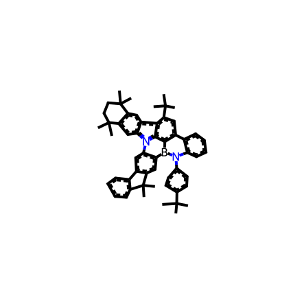 CC(C)(C)c1ccc(N2B3c4cc5c(cc4-n4c6cc7c(cc6c6c(C(C)(C)C)cc(c3c64)-c3ccccc32)C(C)(C)CCC7(C)C)-c2ccccc2C5(C)C)cc1